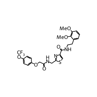 COc1cccc(CCNC(=O)c2csc(CNC(=O)COc3ccc(OC(F)(F)F)cc3)n2)c1OC